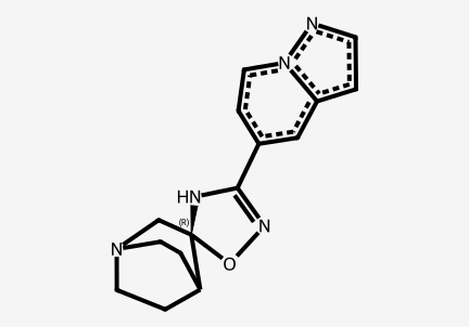 c1cc2cc(C3=NO[C@]4(CN5CCC4CC5)N3)ccn2n1